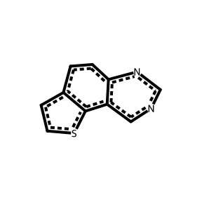 c1ncc2c(ccc3ccsc32)n1